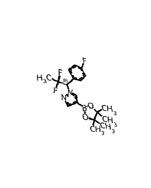 CC(F)(F)[C@@H](c1ccc(F)cc1)n1cc(B2OC(C)(C)C(C)(C)O2)cn1